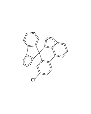 Clc1ccc2c(c1)C1(c3ccccc3-c3ccccc31)c1cccc3cccc-2c13